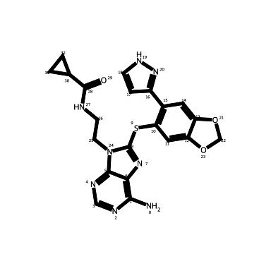 Nc1ncnc2c1nc(Sc1cc3c(cc1-c1cc[nH]n1)OCO3)n2CCNC(=O)C1CC1